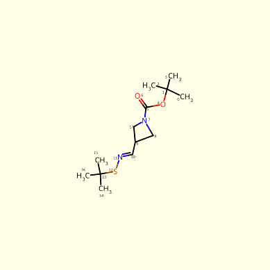 CC(C)(C)OC(=O)N1CC(/C=N/SC(C)(C)C)C1